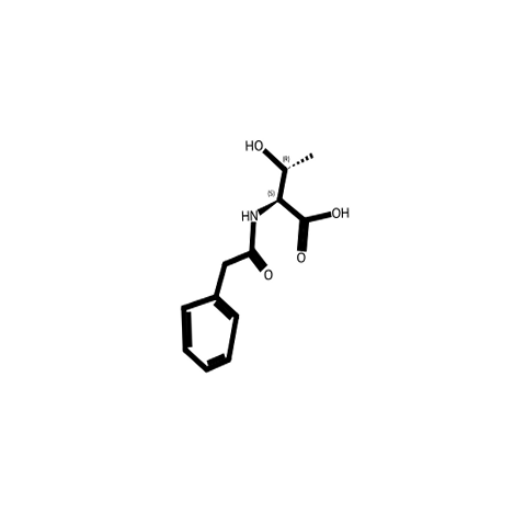 C[C@@H](O)[C@H](NC(=O)Cc1ccccc1)C(=O)O